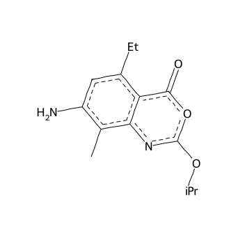 CCc1cc(N)c(C)c2nc(OC(C)C)oc(=O)c12